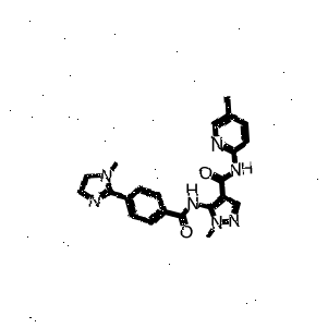 Cc1ccc(NC(=O)c2cnn(C)c2NC(=O)c2ccc(C3=NCCN3C)cc2)nc1